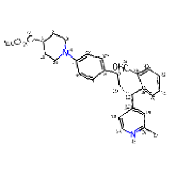 CCOC(=O)C1CCN(c2ccc(CC[C@@H](c3ccnc(C)c3)c3ccccc3C=O)cc2)CC1